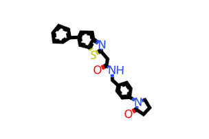 O=C(Cc1nc2ccc(-c3ccccc3)cc2s1)NCc1ccc(N2CCCC2=O)cc1